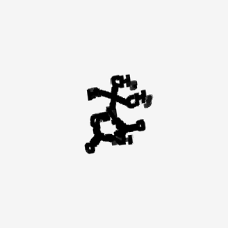 CCC(C)(C)n1oc(=O)[nH]c1=O